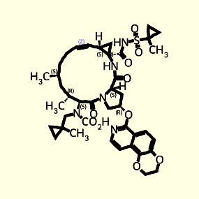 C[C@H]1CC/C=C\[C@@H]2C[C@@]2(C(=O)NS(=O)(=O)C2(C)CC2)NC(=O)[C@@H]2C[C@@H](Oc3nccc4c5c(ccc34)OCCO5)CN2C(=O)[C@@H](N(CC2(C)CC2)C(=O)O)[C@H](C)C1